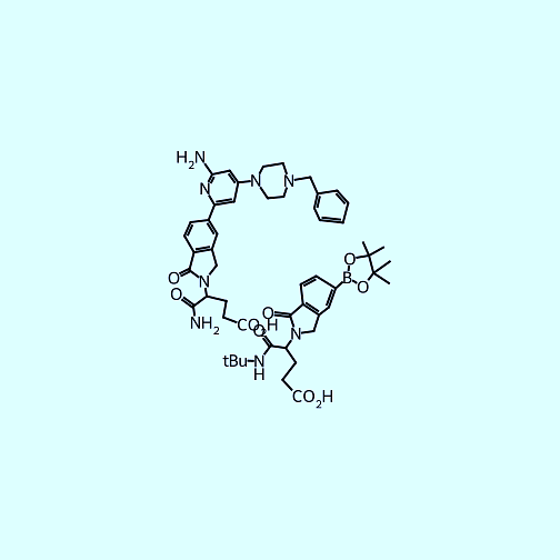 CC(C)(C)NC(=O)C(CCC(=O)O)N1Cc2cc(B3OC(C)(C)C(C)(C)O3)ccc2C1=O.NC(=O)C(CCC(=O)O)N1Cc2cc(-c3cc(N4CCN(Cc5ccccc5)CC4)cc(N)n3)ccc2C1=O